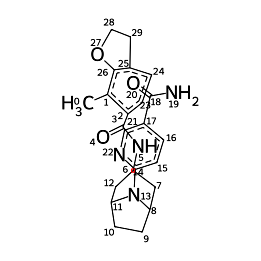 Cc1c(C(=O)NC2CC3CCC(C2)N3c2ccc(C(N)=O)cn2)ccc2c1OCC2